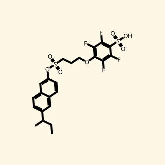 CCC(C)c1ccc2cc(OS(=O)(=O)CCCOc3c(F)c(F)c(S(=O)(=O)O)c(F)c3F)ccc2c1